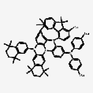 CC(C)(C)c1ccc(N(c2ccc(C(C)(C)C)cc2)c2ccc3c(c2)N2c4cc(cc5c4B3c3cc4c(cc3N5c3ccc5c(c3)C(C)(C)CCC5(C)C)C(C)(C)CCC4(C)C)C(C)(C)c3ccc4c(c3)C(C)(C)c3c(C(C)(C)C)ccc2c3-4)cc1